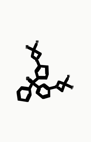 O=P(c1ccccc1)(c1cccc(N2CC(F)(F)C2)c1)c1cccc(N2CC(F)(F)C2)c1